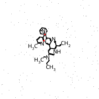 C=C/C(C#N)=C1\NC=C(N(CC)CCC)C=C1c1ccc(N2CC3CC(C2)N3Cc2ccc(C)nc2)nc1